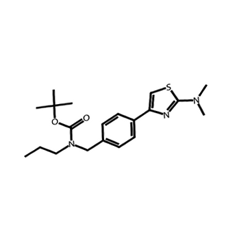 CCCN(Cc1ccc(-c2csc(N(C)C)n2)cc1)C(=O)OC(C)(C)C